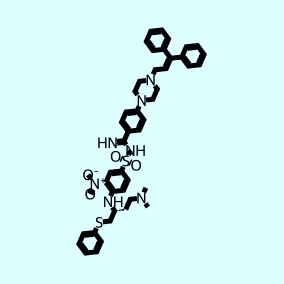 CN(C)CC[C@H](CSc1ccccc1)Nc1ccc(S(=O)(=O)NC(=N)c2ccc(N3CCN(CC=C(c4ccccc4)c4ccccc4)CC3)cc2)cc1[N+](=O)[O-]